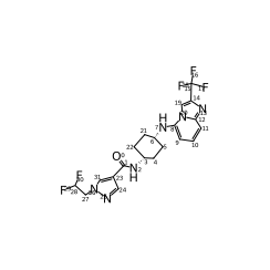 O=C(N[C@H]1CC[C@@H](Nc2cccc3nc(C(F)(F)F)cn23)CC1)c1cnn(CC(F)F)c1